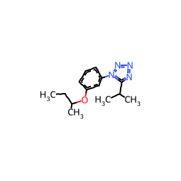 CCC(C)Oc1cccc(-n2nnnc2C(C)C)c1